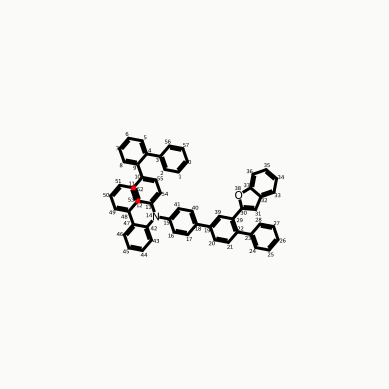 c1ccc(-c2ccccc2-c2ccc(N(c3ccc(-c4ccc(-c5ccccc5)c(-c5cc6ccccc6o5)c4)cc3)c3ccccc3-c3ccccc3)cc2)cc1